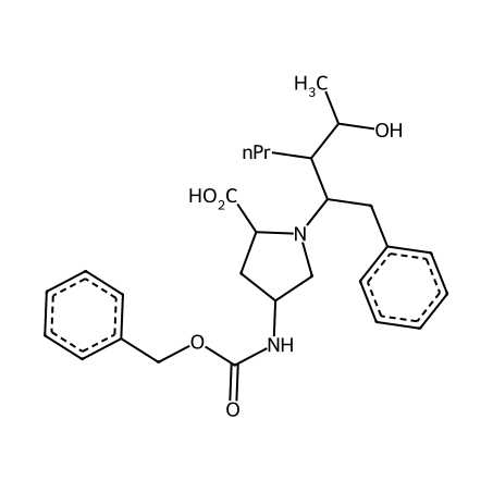 CCCC(C(C)O)C(Cc1ccccc1)N1CC(NC(=O)OCc2ccccc2)CC1C(=O)O